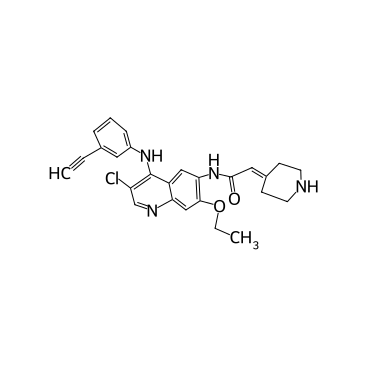 C#Cc1cccc(Nc2c(Cl)cnc3cc(OCC)c(NC(=O)C=C4CCNCC4)cc23)c1